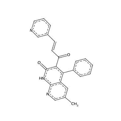 Cc1cnc2[nH]c(=O)c(C(=O)/C=C/c3cccnc3)c(-c3ccccc3)c2c1